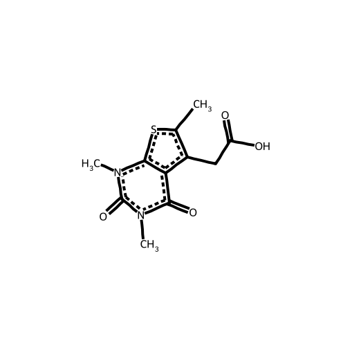 Cc1sc2c(c1CC(=O)O)c(=O)n(C)c(=O)n2C